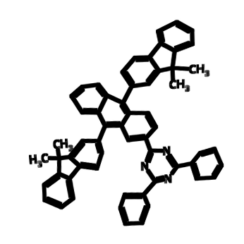 CC1(C)c2ccccc2-c2ccc(-c3c4ccccc4c(-c4ccc5c(c4)C(C)(C)c4ccccc4-5)c4cc(-c5nc(-c6ccccc6)nc(-c6ccccc6)n5)ccc34)cc21